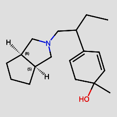 CCC(CN1C[C@H]2CCC[C@H]2C1)C1=CCC(C)(O)C=C1